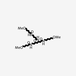 COCCCCCCNC(=O)CC(CCCCNC(=O)CCCCOC)NC(=O)CCCNC(=O)CCCCOC